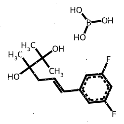 CC(C)(O)C(C)(O)C/C=C/c1cc(F)cc(F)c1.OB(O)O